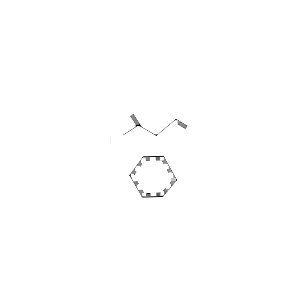 O=CCC(=O)O.c1ccccc1